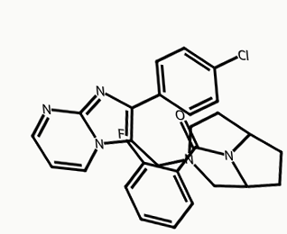 O=C(c1ccccc1F)N1C2CCC1CN(Cc1c(-c3ccc(Cl)cc3)nc3ncccn13)CC2